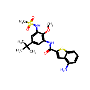 COc1c(NC(=O)c2cc3c(N)cccc3s2)cc(C(C)(C)C)cc1NS(C)(=O)=O